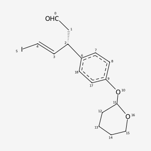 O=CC[C@@H](/C=C/I)c1ccc(OC2CCCCO2)cc1